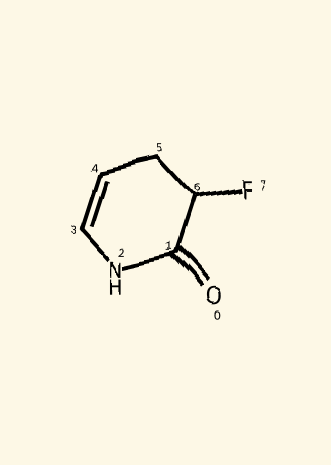 O=C1NC=CCC1F